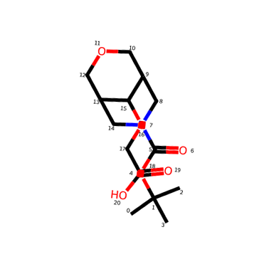 CC(C)(C)OC(=O)N1CC2COCC(C1)C2OCC(=O)O